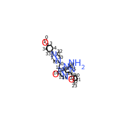 COc1ccc(N2CCN(CCn3c(=O)cnc4c(-c5ccc(C)o5)nc(N)nc43)C[C@@H]2C)cc1